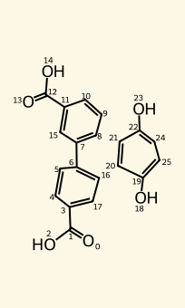 O=C(O)c1ccc(-c2cccc(C(=O)O)c2)cc1.Oc1ccc(O)cc1